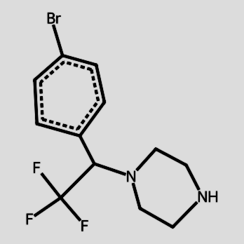 FC(F)(F)C(c1ccc(Br)cc1)N1CCNCC1